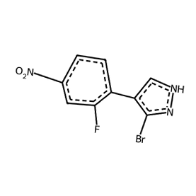 O=[N+]([O-])c1ccc(-c2c[nH]nc2Br)c(F)c1